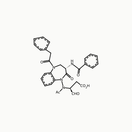 CC(=O)N([C@H](C=O)CC(=O)O)N1C(=O)[C@@H](NC(=O)c2ccccc2)CN(C(=O)Cc2ccccc2)c2ccccc21